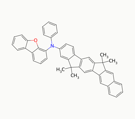 CC1(C)c2cc(N(c3ccccc3)c3cccc4c3oc3ccccc34)ccc2-c2cc3c(cc21)-c1cc2ccccc2cc1C3(C)C